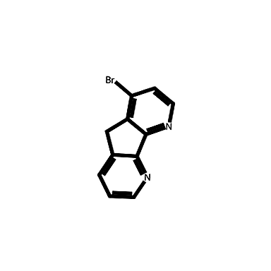 Brc1ccnc2c1Cc1cccnc1-2